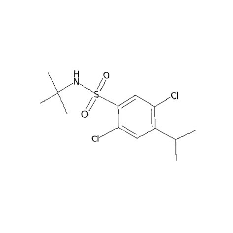 CC(C)c1cc(Cl)c(S(=O)(=O)NC(C)(C)C)cc1Cl